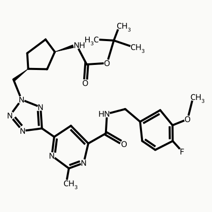 COc1cc(CNC(=O)c2cc(-c3nnn(C[C@H]4CC[C@@H](NC(=O)OC(C)(C)C)C4)n3)nc(C)n2)ccc1F